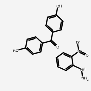 NNc1ccccc1[N+](=O)[O-].O=C(c1ccc(O)cc1)c1ccc(O)cc1